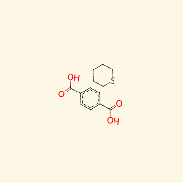 C1CCSCC1.O=C(O)c1ccc(C(=O)O)cc1